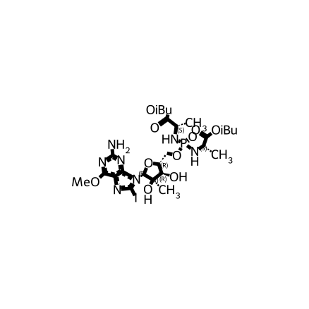 COc1nc(N)nc2c1nc(I)n2[C@@H]1O[C@H](COP(=O)(N[C@@H](C)C(=O)OCC(C)C)N[C@@H](C)C(=O)OCC(C)C)[C@@H](O)[C@@]1(C)O